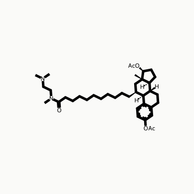 CC(=O)Oc1ccc2c(c1)CC[C@@H]1[C@@H]2[C@@H](CCCCCCCCCCC(=O)N(C)CCN(C)C)C[C@]2(C)[C@@H](OC(C)=O)CC[C@@H]12